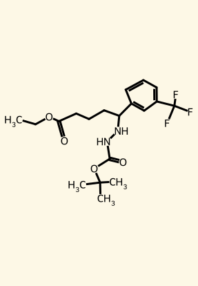 CCOC(=O)CCCC(NNC(=O)OC(C)(C)C)c1cccc(C(F)(F)F)c1